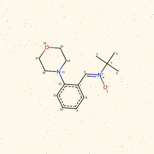 CC(C)(C)[N+]([O-])=Cc1ccccc1N1CCOCC1